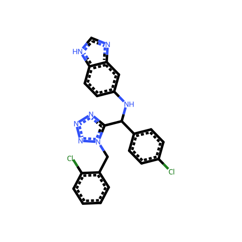 Clc1ccc(C(Nc2ccc3[nH]cnc3c2)c2nnnn2Cc2ccccc2Cl)cc1